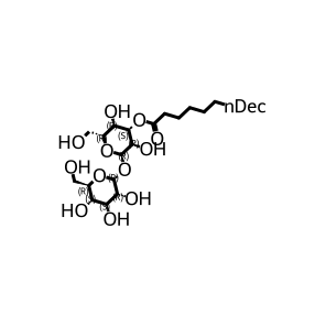 CCCCCCCCCCCCCCCC(=O)O[C@@H]1[C@@H](O)[C@@H](O[C@H]2O[C@H](CO)[C@@H](O)[C@H](O)[C@H]2O)O[C@H](CO)[C@H]1O